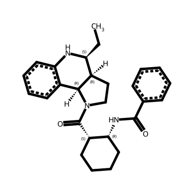 CC[C@@H]1Nc2ccccc2[C@H]2[C@@H]1CCN2C(=O)[C@H]1CCCC[C@H]1NC(=O)c1ccccc1